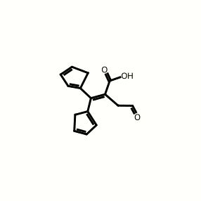 O=CCC(C(=O)O)=C(C1=CC=CC1)C1=CC=CC1